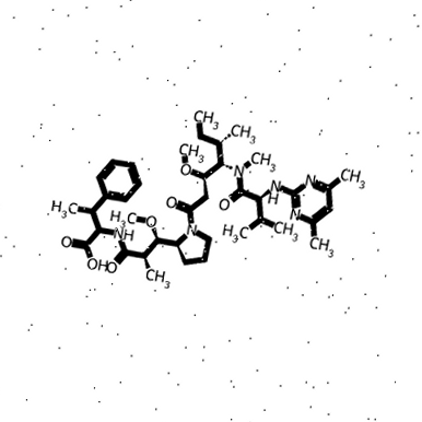 CC[C@H](C)[C@@H]([C@@H](CC(=O)N1CCC[C@H]1[C@H](OC)[C@@H](C)C(=O)NC(C(=O)O)C(C)c1ccccc1)OC)N(C)C(=O)[C@@H](Nc1nc(C)cc(C)n1)C(C)C